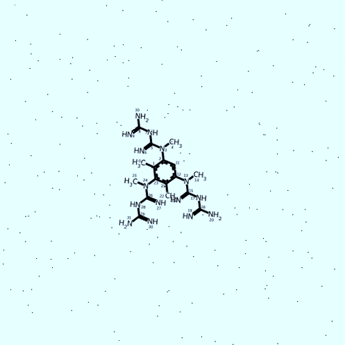 Cc1c(N(C)C(=N)NC(=N)N)cc(N(C)C(=N)NC(=N)N)c(C)c1N(C)C(=N)NC(=N)N